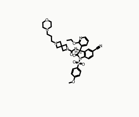 CCOc1ncccc1[C@@]1(NC(=O)N2CC3(CN(CCCN4CCOCC4)C3)C2)C(=O)N(S(=O)(=O)c2ccc(OC)cc2)c2ccc(C#N)cc21